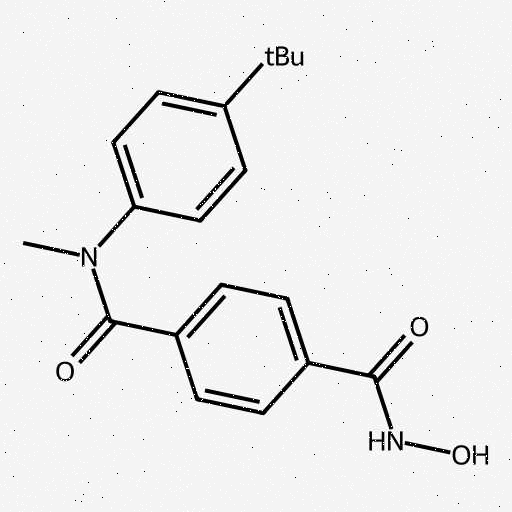 CN(C(=O)c1ccc(C(=O)NO)cc1)c1ccc(C(C)(C)C)cc1